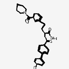 O=C(CC(CCc1cccc(C(=O)N2CCCCC2)c1)C(=O)O)c1ccc(-c2ccc(Cl)cc2)cc1